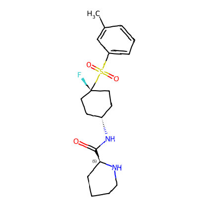 Cc1cccc(S(=O)(=O)[C@]2(F)CC[C@H](NC(=O)[C@@H]3CCCCN3)CC2)c1